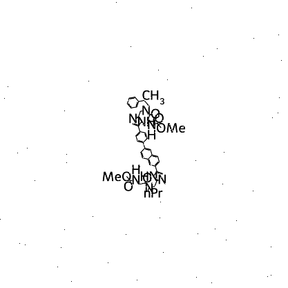 CCCN(Cc1ncc(-c2ccc3cc(-c4ccc(-c5cnc(CN(C[C@@H](C)c6ccccc6)C(=O)CNC(=O)OC)[nH]5)cc4)ccc3c2)[nH]1)C(=O)CNC(=O)OC